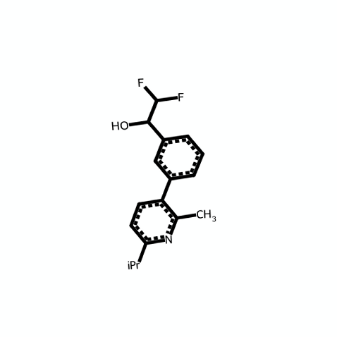 Cc1nc(C(C)C)ccc1-c1cccc(C(O)C(F)F)c1